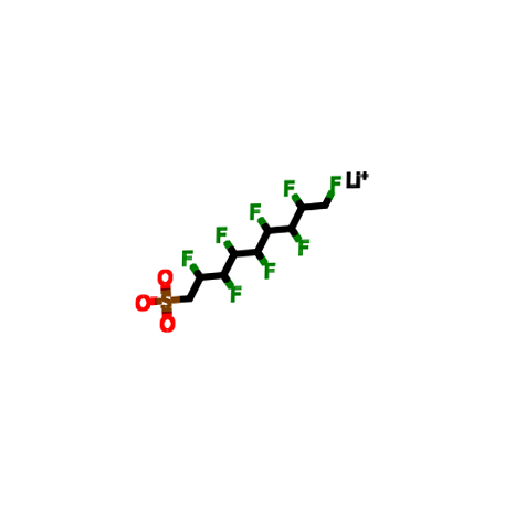 O=S(=O)([O-])CC(F)C(F)C(F)C(F)C(F)C(F)C(F)CF.[Li+]